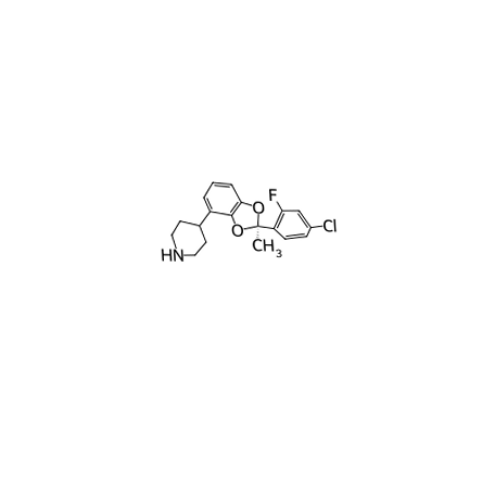 C[C@@]1(c2ccc(Cl)cc2F)Oc2cccc(C3CCNCC3)c2O1